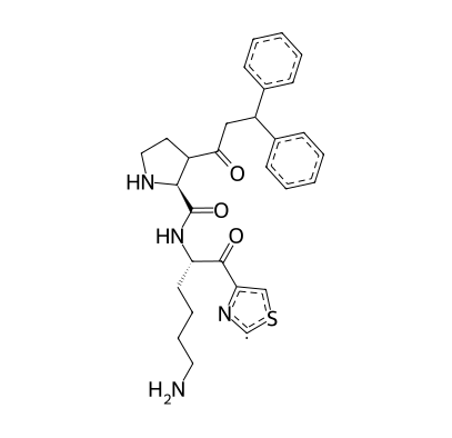 NCCCC[C@H](NC(=O)[C@H]1NCCC1C(=O)CC(c1ccccc1)c1ccccc1)C(=O)c1cs[c]n1